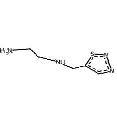 NCCNCc1cnns1